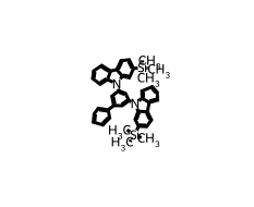 C[Si](C)(C)c1ccc2c3ccccc3n(-c3cc(-c4ccccc4)cc(-n4c5ccccc5c5ccc([Si](C)(C)C)cc54)c3)c2c1